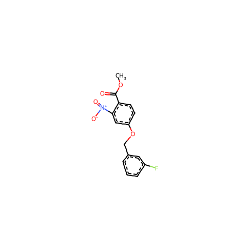 COC(=O)c1ccc(OCc2cccc(F)c2)cc1[N+](=O)[O-]